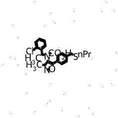 CCCSCc1ccc(-c2onc(C)c2N(C(=O)O)C(C)c2ccccc2Cl)cc1